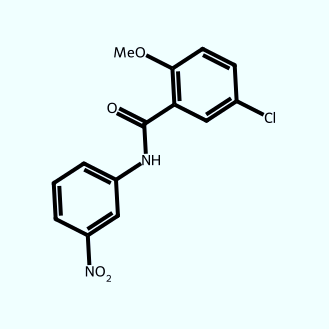 COc1ccc(Cl)cc1C(=O)Nc1cccc([N+](=O)[O-])c1